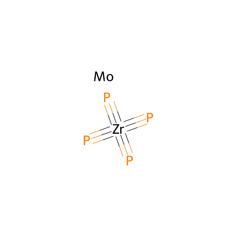 [Mo].[P]#[Zr](#[P])(#[P])#[P]